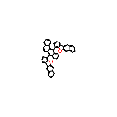 c1ccc2cc3c(cc2c1)oc1c(-c2c4ccccc4c(-c4cccc5c4oc4cc6ccccc6cc45)c4c2ccc2ccccc24)cccc13